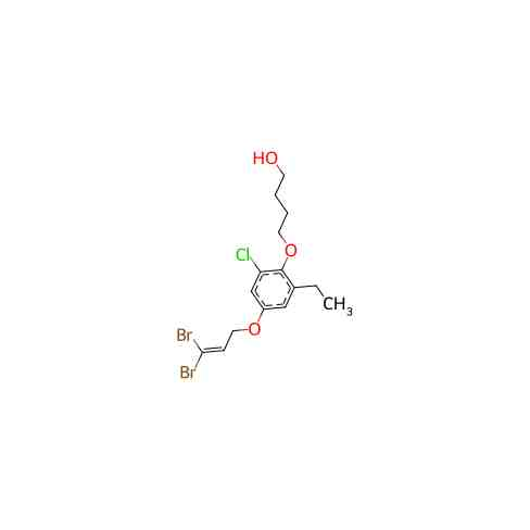 CCc1cc(OCC=C(Br)Br)cc(Cl)c1OCCCCO